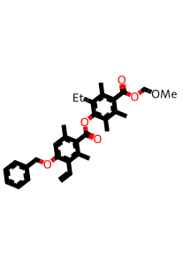 C=Cc1c(OCc2ccccc2)cc(C)c(C(=O)Oc2c(C)c(C)c(C(=O)OCOC)c(C)c2CC)c1C